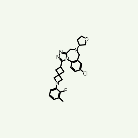 Cc1cccc(N2CC3(CC(c4nnc5n4-c4ccc(Cl)cc4CN([C@H]4CCOC4)C5)C3)C2)c1F